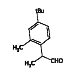 Cc1cc(C(C)(C)C)ccc1C(C)C=O